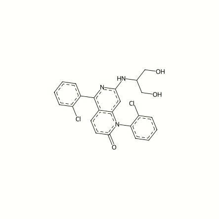 O=c1ccc2c(-c3ccccc3Cl)nc(NC(CO)CO)cc2n1-c1ccccc1Cl